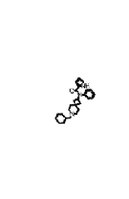 O=C(c1ccc[nH]1)N(c1ccccc1)C1CC2(CCN(CC3CCCCC3)CC2)C1